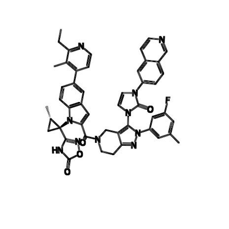 CCc1nccc(-c2ccc3c(c2)cc(C(=O)N2CCc4nn(-c5cc(C)cc(F)c5)c(-n5ccn(-c6ccc7cnccc7c6)c5=O)c4C2)n3[C@@]2(c3noc(=O)[nH]3)C[C@@H]2C)c1C